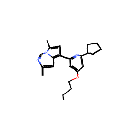 CCCCOc1cc(-c2cc(C)n3cnc(C)cc23)nc(C2CCCC2)c1